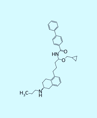 CCCN[C@H]1CCc2c(CCCC(NC(=O)c3ccc(-c4ccccc4)cc3)OCC3CC3)cccc2C1